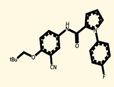 CC(C)(C)COc1ccc(NC(=O)c2cccn2-c2ccc(F)cc2)cc1C#N